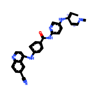 C=N/C=C\C(=C/C)Nc1ccc(NC(=O)c2ccc(Nc3ccnc4ccc(C#N)cc34)cc2)nc1